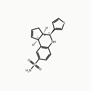 NS(=O)(=O)c1ccc2c(c1)[C@H]1C=CC[C@H]1[C@@H](c1ccsc1)N2